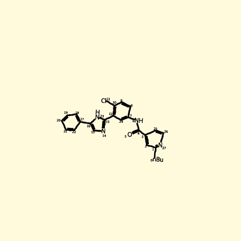 CCCCc1cc(C(=O)Nc2ccc(Cl)c(-c3ncc(-c4ccccc4)[nH]3)c2)ccn1